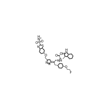 NS(=O)(=O)c1nc2ccc(OCc3cn([C@@H](CN[C@@H](Cc4c[nH]c5ccccc45)C(=O)O)Cc4ccc(OCCF)cc4)nn3)cc2s1